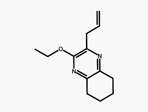 C=CCc1nc2c(nc1OCC)CCCC2